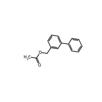 CC(=O)OCc1cccc(-c2ccccc2)c1